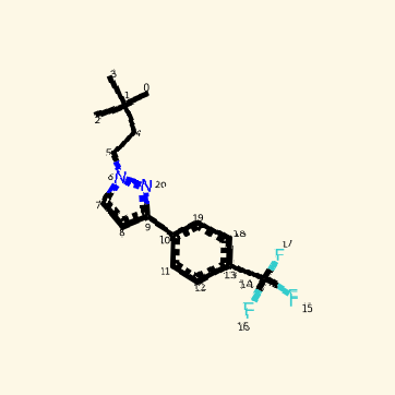 CC(C)(C)CCn1ccc(-c2ccc(C(F)(F)F)cc2)n1